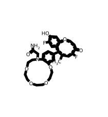 Cc1cc(F)c(=O)ccoc2cc(O)c(F)cc2c1-c1ccc2c(c1)OCCOCCOCCOCCN2CC(N)=O